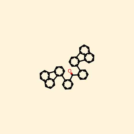 O=C(c1ccccc1-c1cccc2c1-c1cccc3cccc-2c13)c1ccccc1-c1cccc2c1-c1cccc3cccc-2c13